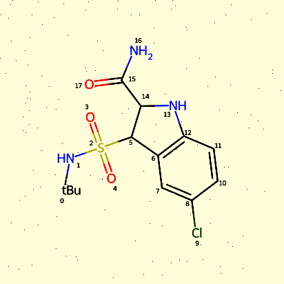 CC(C)(C)NS(=O)(=O)C1c2cc(Cl)ccc2NC1C(N)=O